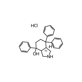 Cl.OC1(c2ccccc2)CCC(c2ccccc2)(c2ccccc2)[C@H]2CNCC21